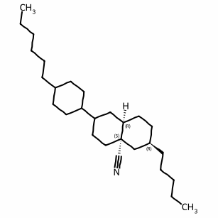 CCCCCCC1CCC(C2CC[C@]3(C#N)C[C@H](CCCCC)CC[C@@H]3C2)CC1